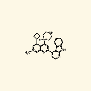 C[n+]1cc(C2CCC2)c2c([N+]3([O-])CCNCC3)nc(-c3ccnc4[nH]c5ccccc5c34)nc2c1